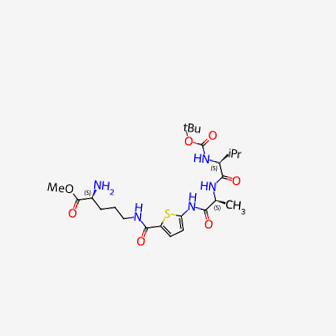 COC(=O)[C@@H](N)CCCNC(=O)c1ccc(NC(=O)[C@H](C)NC(=O)[C@@H](NC(=O)OC(C)(C)C)C(C)C)s1